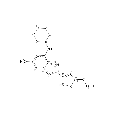 Cc1cc(NC2CCOCC2)c2[nH]c(C3=N[C@@H](CC(=O)O)CO3)cc2c1